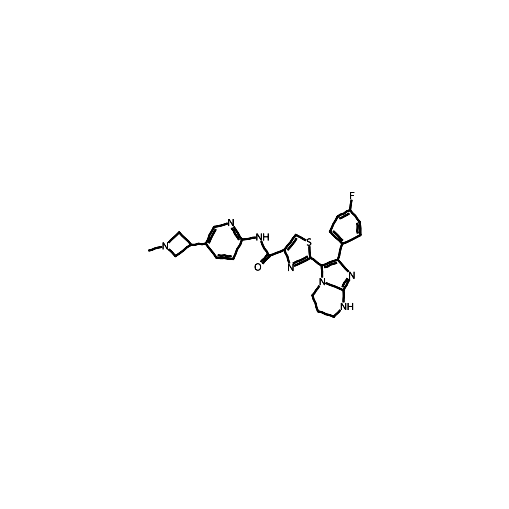 CN1CC(c2ccc(NC(=O)c3csc(-c4c(-c5ccc(F)cc5)nc5n4CCCN5)n3)nc2)C1